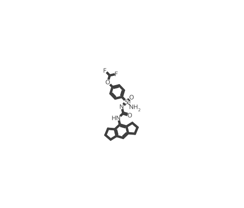 N[S@](=O)(=NC(=O)Nc1c2c(cc3c1CCC3)CCC2)c1ccc(OC(F)F)cc1